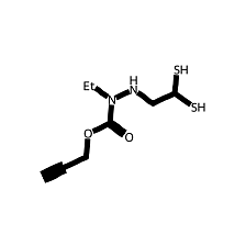 C#CCOC(=O)N(CC)NCC(S)S